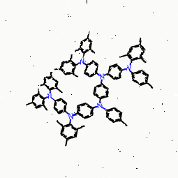 Cc1ccc(N(c2ccc(N(c3ccc(N(c4ccc(C)cc4)c4c(C)cc(C)cc4C)cc3)c3ccc(N(c4c(C)cc(C)cc4C)c4c(C)cc(C)cc4C)cc3)cc2)c2ccc(N(c3ccc(N(c4c(C)cc(C)cc4C)c4c(C)cc(C)cc4C)cc3)c3c(C)cc(C)cc3C)cc2)cc1